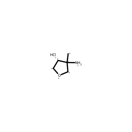 CC1(N)CCOC1.Cl